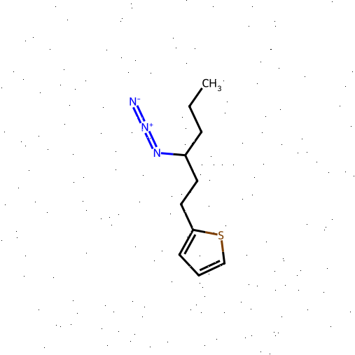 CCCC(CCc1cccs1)N=[N+]=[N-]